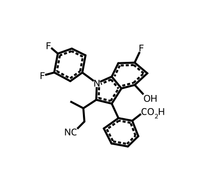 CC(CC#N)c1c(-c2ccccc2C(=O)O)c2c(O)cc(F)cc2n1-c1ccc(F)c(F)c1